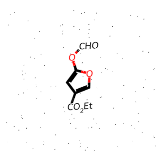 CCOC(=O)c1coc(OC=O)c1